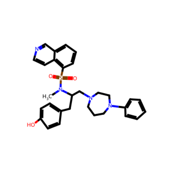 CN(C(Cc1ccc(O)cc1)CN1CCCN(c2ccccc2)CC1)S(=O)(=O)c1cccc2cnccc12